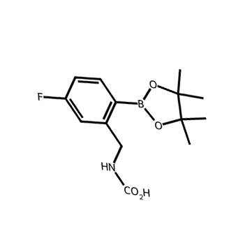 CC1(C)OB(c2ccc(F)cc2CNC(=O)O)OC1(C)C